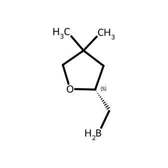 BC[C@H]1CC(C)(C)CO1